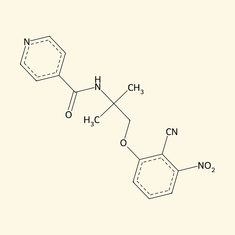 CC(C)(COc1cccc([N+](=O)[O-])c1C#N)NC(=O)c1ccncc1